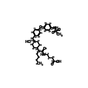 CCCCN(C(=O)NCCCC(=O)O)C1CCN(Cc2ccc(Oc3ccc(NS(C)(=O)=O)cc3)cc2)CC1.Cl